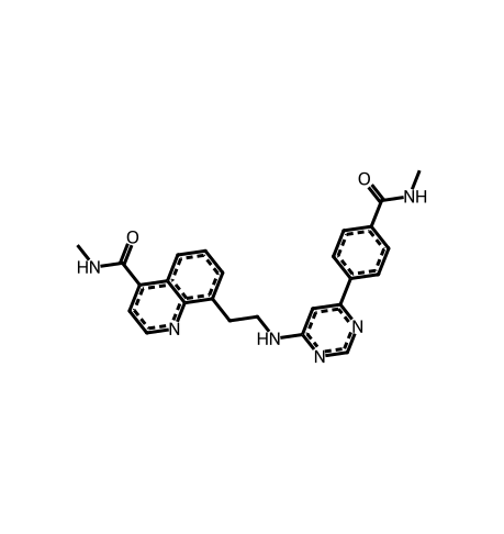 CNC(=O)c1ccc(-c2cc(NCCc3cccc4c(C(=O)NC)ccnc34)ncn2)cc1